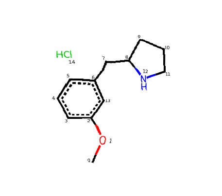 COc1cccc(CC2CCCN2)c1.Cl